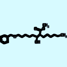 CCCCCC[C@H](C(=O)OC)[C@@H](O)CCCCCOCc1ccccc1